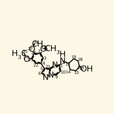 COc1cc(-c2cnn3ccc(NC4CCC(O)CC4)nc23)cc(OC)c1OC